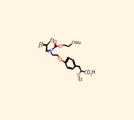 CCOC(Cc1ccc(OCCN(CC(CC)CC)C(=O)OCCOC)cc1)C(=O)O